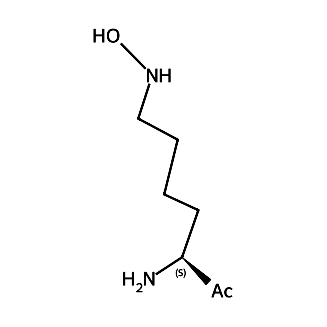 CC(=O)[C@@H](N)CCCCNO